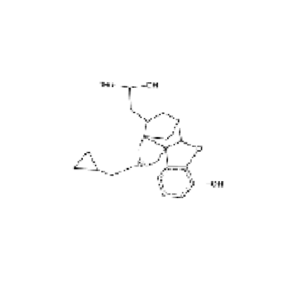 CC(C)(C)C(O)CC1CC2CCC13CN(CC1CC1)CCC31c3cccc(O)c3OC21